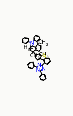 CC1C=CC2(C)C3=C1C(C)(c1ccc4c(c1)sc1cccc(-c5nc(-c6ccccc6)nc(-c6ccccc6)n5)c14)C=CC3(C)N(c1ccccc1)c1ccccc12